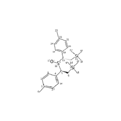 Cc1ccc([C@H](C[Si](C)(C)C)[S+]([O-])[C@@H](C[Si](C)(C)C)c2ccc(C)cc2)cc1